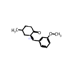 COc1cccc(/C=C2/CC(C)CCC2=O)c1